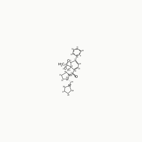 CS(=O)(=O)C1(F)CC(c2ccccc2)=CC=C1C(=O)N1CCC[C@H]1CN1CCCC1